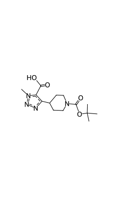 Cn1nnc(C2CCN(C(=O)OC(C)(C)C)CC2)c1C(=O)O